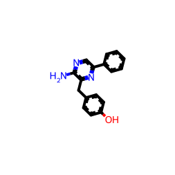 Nc1ncc(-c2ccccc2)nc1Cc1ccc(O)cc1